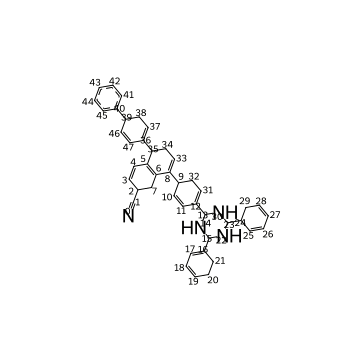 N#CC1C=CC2=C(C1)C(C1C=CC(C3NC(C4=CC=CCC4)NC(C4C=CC=CC4)N3)=CC1)=CCC2C1=CCC(c2ccccc2)C=C1